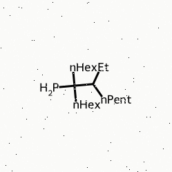 CCCCCCC(P)(CCCCCC)C(CC)CCCCC